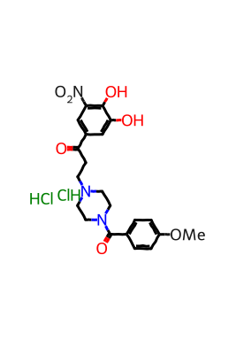 COc1ccc(C(=O)N2CCN(CCC(=O)c3cc(O)c(O)c([N+](=O)[O-])c3)CC2)cc1.Cl.Cl